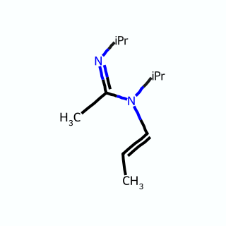 C/C=C/N(/C(C)=N\C(C)C)C(C)C